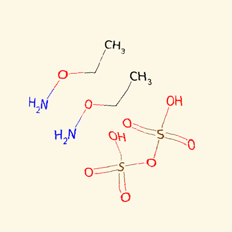 CCON.CCON.O=S(=O)(O)OS(=O)(=O)O